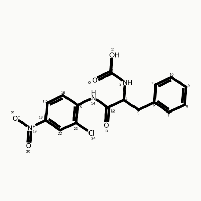 O=C(O)NC(Cc1ccccc1)C(=O)Nc1ccc([N+](=O)[O-])cc1Cl